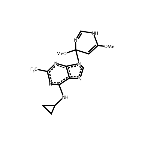 COC1=CC(OC)(n2cnc3c(NC4CC4)nc(C(F)(F)F)nc32)N=CN1